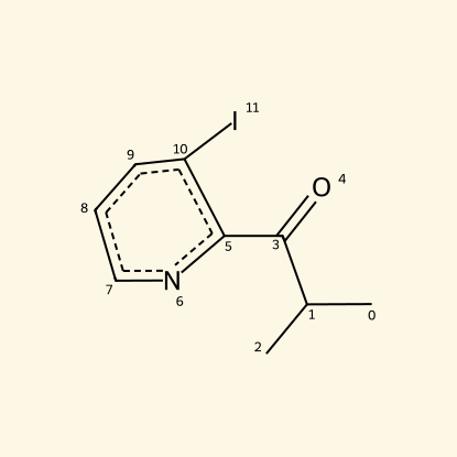 CC(C)C(=O)c1ncccc1I